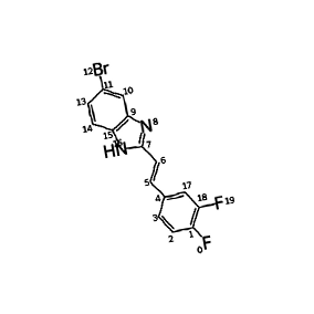 Fc1ccc(C=Cc2nc3cc(Br)ccc3[nH]2)cc1F